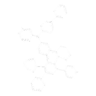 C1=Cc2c(c3cc(N(c4ccc(-c5ccccc5)cc4)c4cnccn4)ccc3c3c(-c4ccccc4)c(-c4ccccc4)cc(-c4ccccc4)c23)CC1